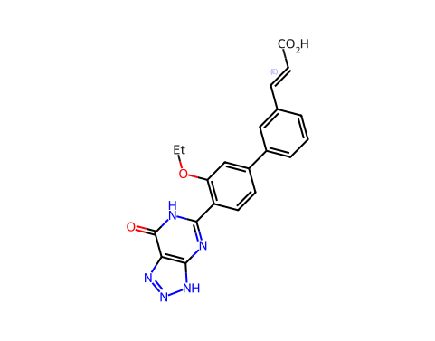 CCOc1cc(-c2cccc(/C=C/C(=O)O)c2)ccc1-c1nc2[nH]nnc2c(=O)[nH]1